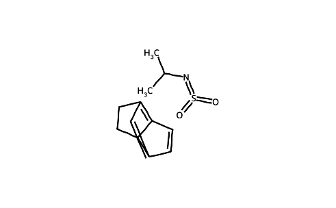 C1=CC2=C3C=C1C2CC3.CC(C)N=S(=O)=O